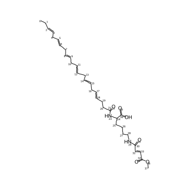 CCC=CCC=CCC=CCC=CCC=CCC=CCCC(=O)NC(CCCCNC(=O)C=CC(=O)OC)C(=O)O